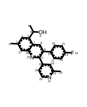 Cc1cc(C(C)O)c2cc(-c3ccc(F)cc3)c(-c3ccnc(C)c3)nc2c1